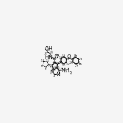 Nc1ncnn2c(C3CCCC3)c(C(=O)NCCO)c(-c3ccc(Oc4ccccc4)cc3)c12